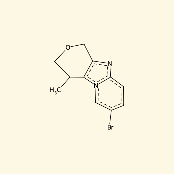 CC1COCc2nc3ccc(Br)cn3c21